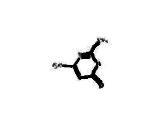 O=C1[C]=C(C(F)(F)F)N=C(C(F)(F)F)[N]1